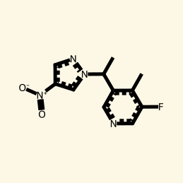 Cc1c(F)cncc1C(C)n1cc([N+](=O)[O-])cn1